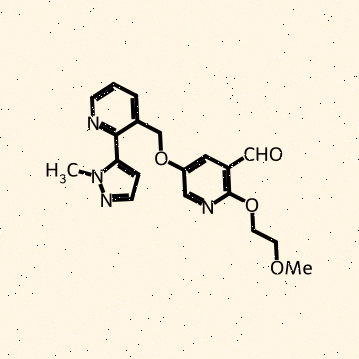 COCCOc1ncc(OCc2cccnc2-c2ccnn2C)cc1C=O